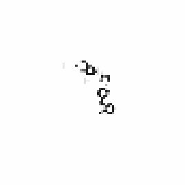 CN1CCc2cc(NC3CCN(c4ccc(-c5n[nH]c(=O)c6ccccc56)cc4)C3O)ccc2C1